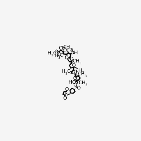 CC[C@@]1([C@@H]2O[C@@H]([C@H]3O[C@@](O)(COC(=O)[C@H]4CC[C@H](CN5C(=O)C=CC5=O)CC4)[C@H](C)C[C@@H]3C)C[C@@H]2C)CCC([C@]2(C)CC[C@]3(C[C@H](O)[C@@H](C)[C@@H]([C@@H](C)[C@@H](OC)C(C)C(=O)OC)O3)O2)O1